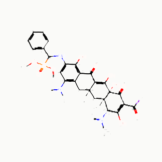 CCOP(=O)(OCC)C(Nc1cc(N(C)C)c2c(c1O)C(=O)C1=C(O)[C@]3(O)C(=O)C(C(=O)I)=C(O)[C@@H](N(C)C)[C@@H]3C[C@@H]1C2)c1ccccc1